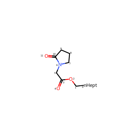 CCCCCCCCOC(=O)CN1CCCC1=O